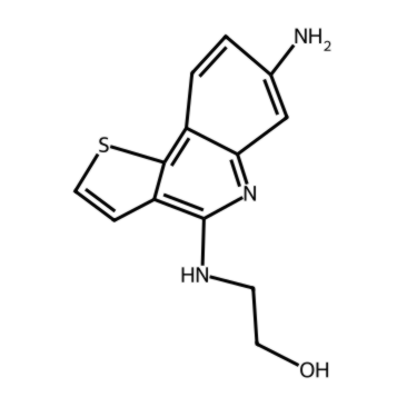 Nc1ccc2c(c1)nc(NCCO)c1ccsc12